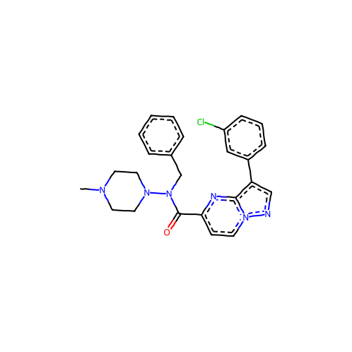 CN1CCN(N(Cc2ccccc2)C(=O)c2ccn3ncc(-c4cccc(Cl)c4)c3n2)CC1